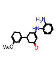 COC1=CCCC(C2CC(=O)C=C(Nc3ccccc3N)C2)=C1